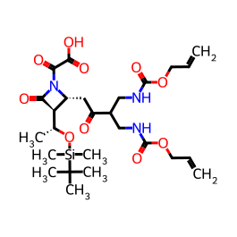 C=CCOC(=O)NCC(CNC(=O)OCC=C)C(=O)C[C@@H]1[C@@H]([C@@H](C)O[Si](C)(C)C(C)(C)C)C(=O)N1C(=O)C(=O)O